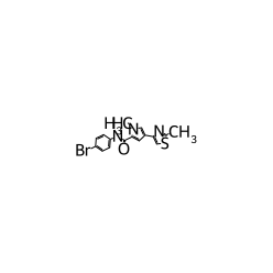 Cc1nc(-c2cc(C(=O)Nc3ccc(Br)cc3)n(C)c2)cs1